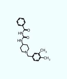 Cc1ccc(CN2CCC(NC(=O)NC(=O)c3ccccc3)CC2)cc1C